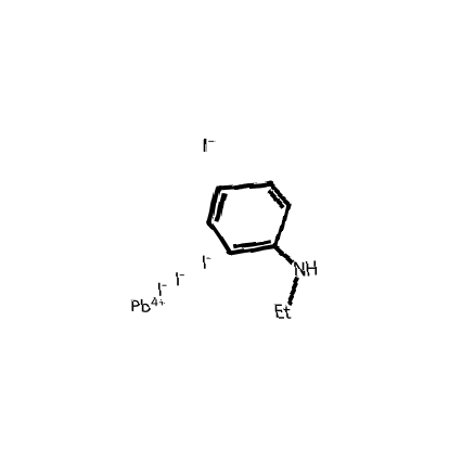 CCNc1ccccc1.[I-].[I-].[I-].[I-].[Pb+4]